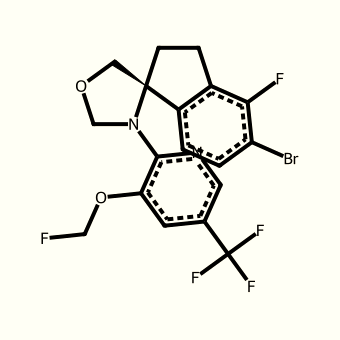 FCOc1cc(C(F)(F)F)cnc1N1COC[C@]12CCc1c2ccc(Br)c1F